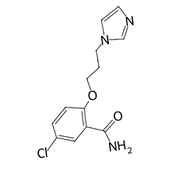 NC(=O)c1cc(Cl)ccc1OCCCn1ccnc1